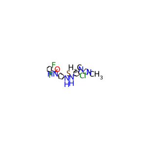 CN1CCC(N(C)c2ccc(NC(=S)Nc3ccc(NC(=O)c4c(F)cccc4F)cc3)cc2Cl)CC1